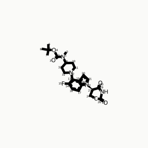 CN(C(=O)OC(C)(C)C)C1CCN(c2c(F)ccc3c2ccn3[C@@H]2CCC(=O)NC2=O)CC1